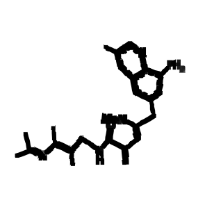 C=C(/C=C(/Cc1cc(P)c2ncc(C)cc2c1)NC)C(=O)NC/C(C)=C(\C)N=C(C)C